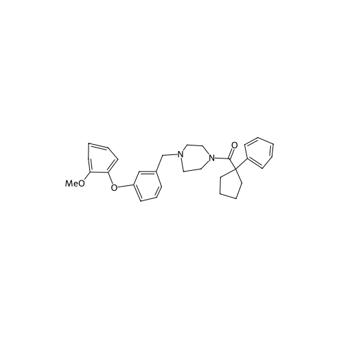 COc1ccccc1Oc1cccc(CN2CCN(C(=O)C3(c4ccccc4)CCCC3)CC2)c1